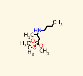 CCCCNC(C)C[Si](OC)(OC)OC